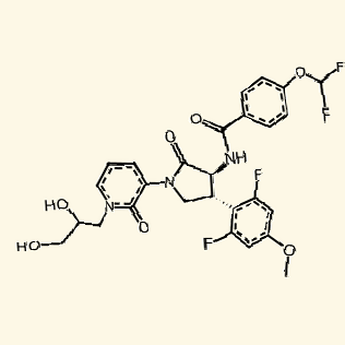 COc1cc(F)c([C@@H]2CN(c3cccn(CC(O)CO)c3=O)C(=O)[C@H]2NC(=O)c2ccc(OC(F)F)cc2)c(F)c1